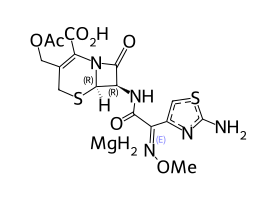 CO/N=C(/C(=O)N[C@@H]1C(=O)N2C(C(=O)O)=C(COC(C)=O)CS[C@H]12)c1csc(N)n1.[MgH2]